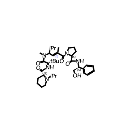 C/C(=C\C(C(C)C)N(C)C(=O)[C@@H](NC(=O)[C@H]1CCCCN1C(C)C)C(C)(C)C)C(=O)N1CCC[C@H]1C(=O)N[C@H](CO)c1ccccc1